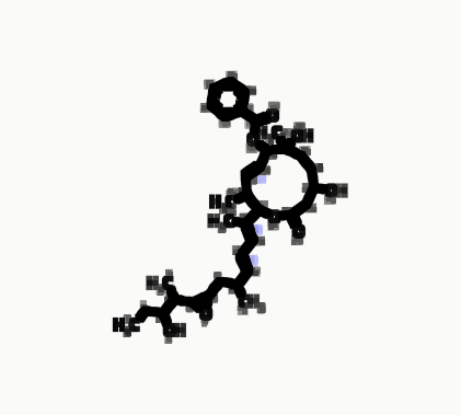 CCC(O)C(C)C1OC1CC(C)/C=C/C=C(\C)C1OC(=O)CC(O)CCC(C)(O)C(OC(=O)c2ccccc2)/C=C/C1C